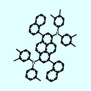 Cc1cccc(N(c2ccc(C)c(C)c2)c2cc(-c3cccc4ccccc34)c3ccc4c(N(c5ccc(C)c(C)c5)c5ccc(C)c(C)c5)cc(-c5cccc6ccccc56)c5ccc2c3c54)c1